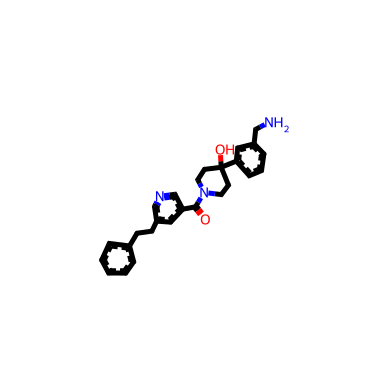 NCc1cccc(C2(O)CCN(C(=O)c3cncc(CCc4ccccc4)c3)CC2)c1